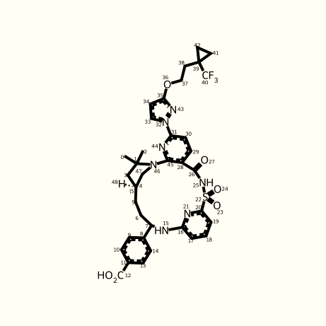 CC1(C)C[C@@H]2CCC(c3ccc(C(=O)O)cc3)Nc3cccc(n3)S(=O)(=O)NC(=O)c3ccc(-n4ccc(OCCC5(C(F)(F)F)CC5)n4)nc3N1C2